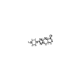 CN1CCN(c2nc3n(n2)CC2=CSC(=O)C2=N3)CC1